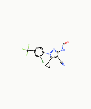 N#Cc1c(NC=O)nn(-c2ccc(C(F)(F)F)cc2Cl)c1C1CC1